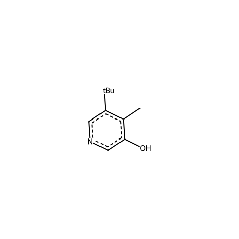 Cc1c(O)cncc1C(C)(C)C